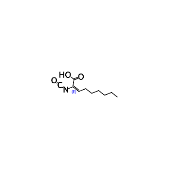 CCCCCC/C=C(/N=C=O)C(=O)O